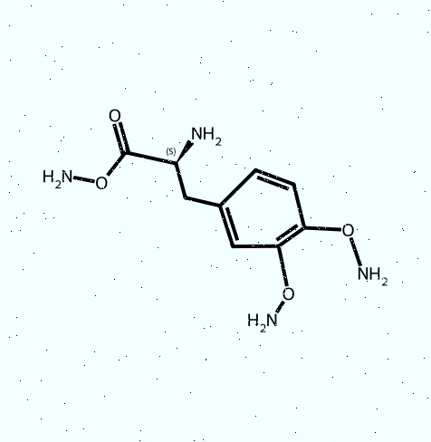 NOC(=O)[C@@H](N)Cc1ccc(ON)c(ON)c1